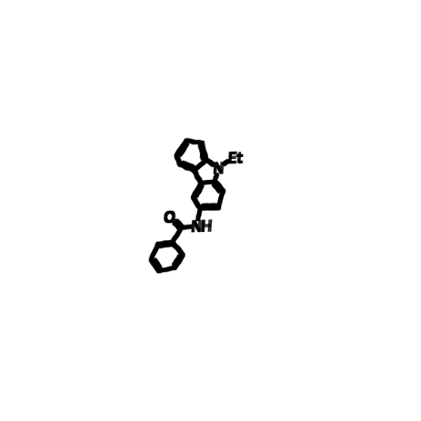 CCn1c2ccccc2c2cc(NC(=O)c3ccccc3)ccc21